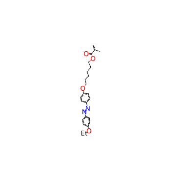 C=C(C)C(=O)OCCCCCCOc1ccc(N=Nc2ccc(OCC)cc2)cc1